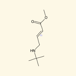 COC(=O)/C=C/CNC(C)(C)C